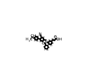 CN(C)c1ccc(-c2ccc(CN(C(=O)C3CCCCC3)c3cccc(/C=C/C(=O)O)c3)cc2C#N)cc1